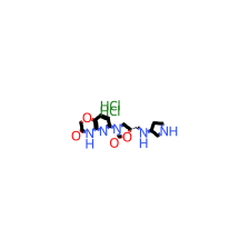 Cl.Cl.O=C1COc2ccc(N3C[C@H](CNC4CCNC4)OC3=O)nc2N1